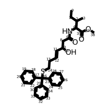 CCC(C)C(NC(=O)CC(O)C=CCCSC(c1ccccc1)(c1ccccc1)c1ccccc1)C(=O)OC